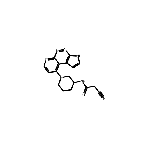 N#CCC(=O)NC1CCCN(c2cnnc3nnc4[nH]ccc4c23)C1